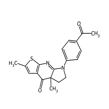 CC(=O)c1ccc(N2CCC3(C)C(=O)c4cc(C)sc4N=C23)cc1